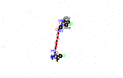 COc1cc(C(=O)NCCOCCOCCOCCOCCNC(=O)C[C@@H]2N=C(c3ccc(Cl)cc3)c3c(sc(C)c3C)-n3c(C)nnc32)ccc1NC(=O)[C@H]1N[C@H](CC(C)(C)C)[C@@](C#N)(c2ccc(Cl)cc2F)[C@@H]1c1cccc(Cl)c1F